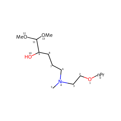 CCCOCCN(C)CCCC(O)C(OC)OC